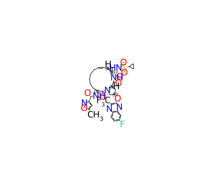 Cc1cc(C(=O)N[C@H]2CCCCCC=C[C@@H]3C[C@@]3(C(=O)NS(=O)(=O)C3CC3)NC(=O)[C@@H]3C[C@@H](Oc4nc5cc(F)ccc5nc4C(F)(F)F)CN3C2=O)no1